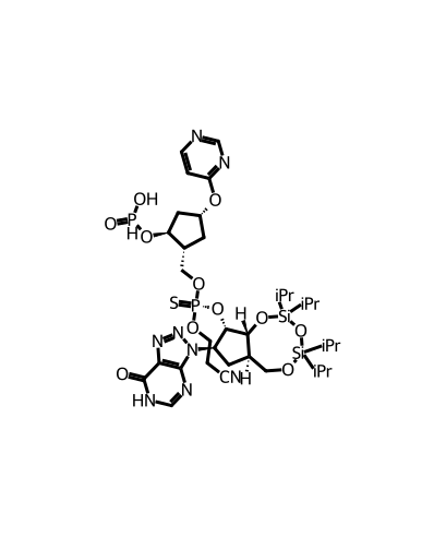 CC(C)[Si]1(C(C)C)OC[C@H]2C[C@@H](n3nnc4c(=O)[nH]cnc43)[C@H](O[P@@](=S)(OCCC#N)OC[C@H]3C[C@@H](Oc4ccncn4)C[C@@H]3O[PH](=O)O)[C@@H]2O[Si](C(C)C)(C(C)C)O1